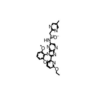 CCOC1=NC(c2nc3ncc(N[S+]([O-])Cc4ncc(C)cn4)nc3n2-c2c(O)cccc2OC)=C=C=C1